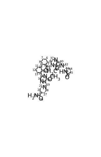 COc1nc(-c2cccc(-c3cccc(-c4cnc(CN5CCC(C(N)=O)CC5)c(OC)n4)c3Cl)c2Cl)cnc1CNC[C@@H]1CCC(=O)N1